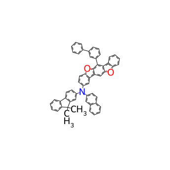 CC1(C)c2ccccc2-c2ccc(N(c3ccc4ccccc4c3)c3ccc4oc5c(-c6cccc(-c7ccccc7)c6)c6c(cc5c4c3)oc3ccccc36)cc21